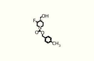 Cc1ccc(COC(=O)N2CC[C@H](CO)[C@H](F)C2)cc1